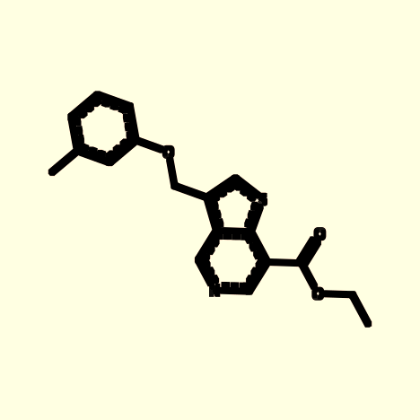 CCOC(=O)c1cncc2c(COc3cccc(C)c3)csc12